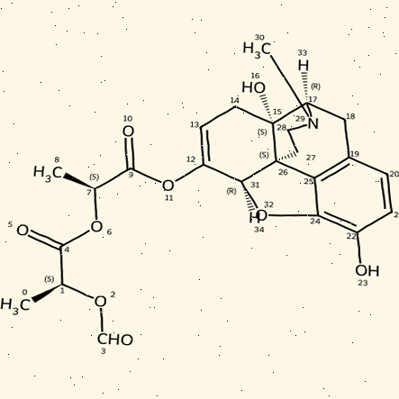 C[C@H](OC=O)C(=O)O[C@@H](C)C(=O)OC1=CC[C@@]2(O)[C@H]3Cc4ccc(O)c5c4[C@@]2(CCN3C)[C@H]1O5